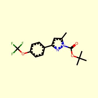 Cc1cc(-c2ccc(OC(F)(F)F)cc2)nn1C(=O)OC(C)(C)C